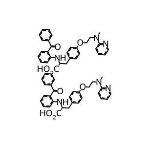 CN(CCOc1ccc(CC(Nc2ccccc2C(=O)c2ccccc2)C(=O)O)cc1)c1ccccn1.CN(CCOc1ccc(C[C@H](Nc2ccccc2C(=O)c2ccccc2)C(=O)O)cc1)c1ccccn1